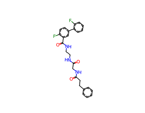 O=C(CCc1ccccc1)NCC(=O)NCCNC(=O)c1cc(-c2ccccc2F)ccc1F